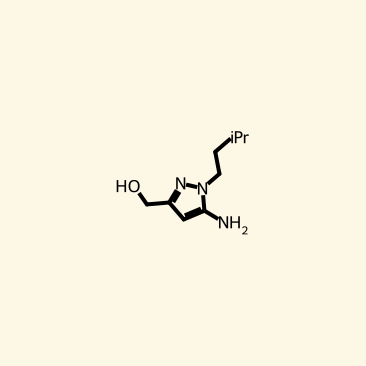 CC(C)CCn1nc(CO)cc1N